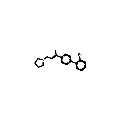 CC(=CCN1CCCC1)c1ccc(-c2ccccc2Br)cc1